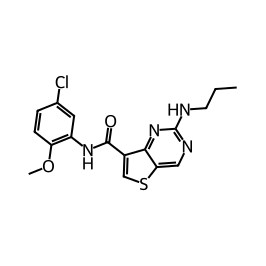 CCCNc1ncc2scc(C(=O)Nc3cc(Cl)ccc3OC)c2n1